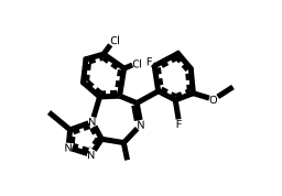 COc1ccc(F)c(C2=NC(C)c3nnc(C)n3-c3ccc(Cl)c(Cl)c32)c1F